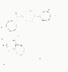 O=C(c1cccc(Nc2ccnc3cc(C(F)(F)F)ccc23)c1)N1CCN(c2ccc(C(F)(F)F)cc2)CC1